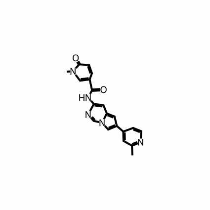 Cc1cc(-c2cc3cc(NC(=O)c4ccc(=O)n(C)c4)ncn3c2)ccn1